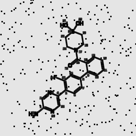 Nc1cnc(-c2ccc(-c3ccccc3C(=O)N3CCS(O)(O)CC3)cc2F)cn1